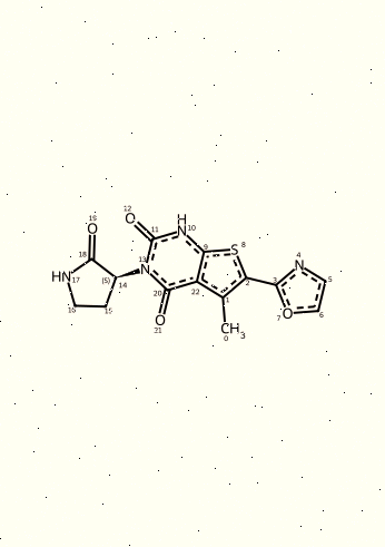 Cc1c(-c2ncco2)sc2[nH]c(=O)n([C@H]3CCNC3=O)c(=O)c12